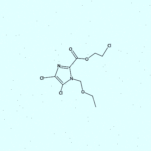 CCOCn1c(C(=O)OCCCl)nc(Cl)c1Cl